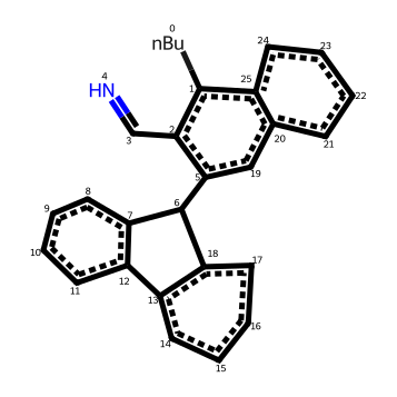 CCCCc1c(C=N)c(C2c3ccccc3-c3ccccc32)cc2ccccc12